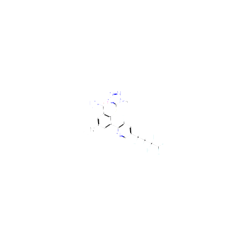 Cn1nnnc1Sc1c(C(N)=O)cc([N+](=O)[O-])cc1-c1ncc(C(F)(F)C(F)(F)C(F)(F)C(F)F)cc1F